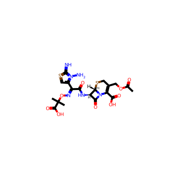 CC(=O)OCC1=C(C(=O)O)N2C(=O)[C@@H](NC(=O)C(=NOC(C)(C)C(=O)O)c3csc(=N)n3N)[C@@H]2SC1